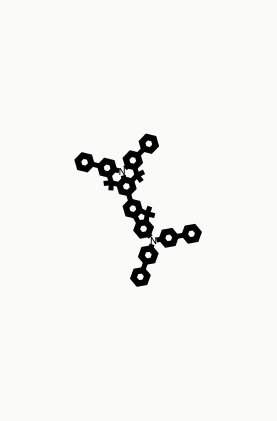 CC1(C)c2cc(-c3cc4c5c(c3)C(C)(C)c3cc(-c6ccccc6)ccc3N5c3ccc(-c5ccccc5)cc3C4(C)C)ccc2-c2ccc(N(c3ccc(-c4ccccc4)cc3)c3ccc(-c4ccccc4)cc3)cc21